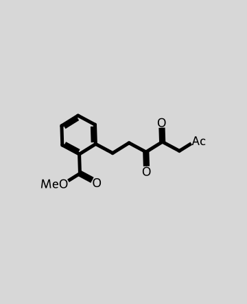 COC(=O)c1ccccc1CCC(=O)C(=O)CC(C)=O